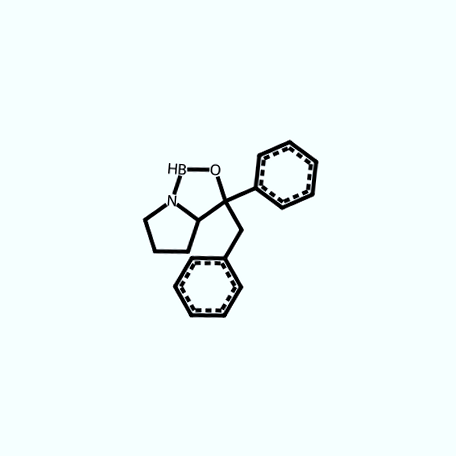 B1OC(Cc2ccccc2)(c2ccccc2)C2CCCN12